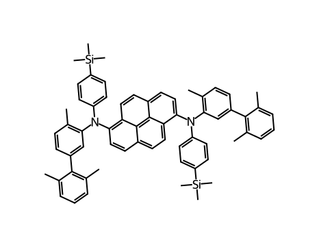 Cc1ccc(-c2c(C)cccc2C)cc1N(c1ccc([Si](C)(C)C)cc1)c1ccc2ccc3c(N(c4ccc([Si](C)(C)C)cc4)c4cc(-c5c(C)cccc5C)ccc4C)ccc4ccc1c2c43